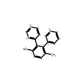 Cc1ccc(C#N)c(-c2ccncn2)c1-c1cccnc1